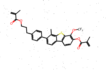 C=C(C)C(=O)OCCCc1ccc(-c2ccc3c(sc4c(OC(F)(F)F)c(OC(=O)C(=C)C)ccc43)c2C)cc1